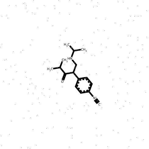 [C-]#[N+]c1ccc(C(CNC(C)C)C(=O)C(C)C)cc1